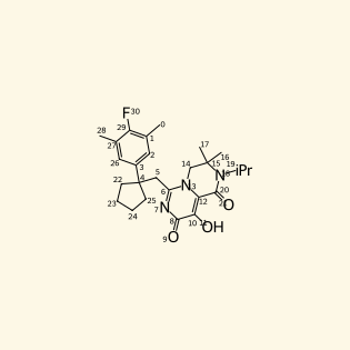 Cc1cc(C2(Cc3nc(=O)c(O)c4n3CC(C)(C)N(C(C)C)C4=O)CCCC2)cc(C)c1F